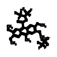 COc1cc2c(C(=O)OC(C(F)(F)F)C(F)(F)F)c3cc(OC)c(OC)cc3[n+](C)c2cc1OC.O=S(=O)([O-])C(F)(F)F